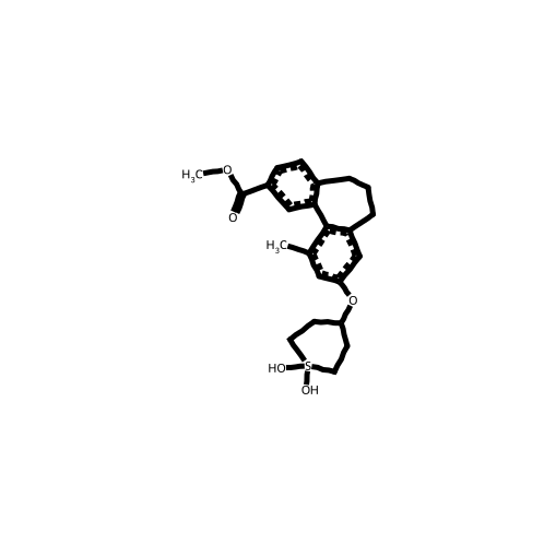 COC(=O)c1ccc2c(c1)-c1c(C)cc(OC3CCS(O)(O)CC3)cc1CCC2